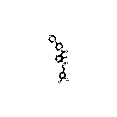 Cc1c(NCCc2ccc(Cl)c(Cl)c2)ncnc1C(=O)N1CCC(N2CCOCC2)CC1